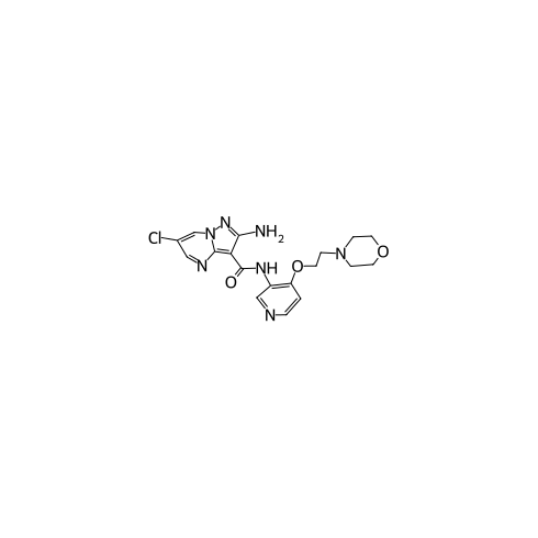 Nc1nn2cc(Cl)cnc2c1C(=O)Nc1cnccc1OCCN1CCOCC1